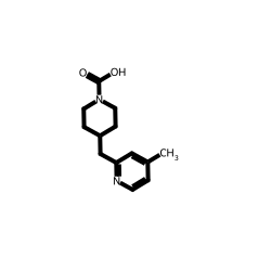 Cc1ccnc(CC2CCN(C(=O)O)CC2)c1